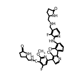 COc1nc(-c2ccnc(-c3cccc(Nc4nccc(CNCC5CCC(=O)N5)c4F)c3Cl)c2Cl)cc(F)c1CNCC1CCC(=O)N1